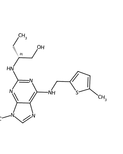 CC[C@H](CO)Nc1nc(NCc2ccc(C)s2)c2ncn(C)c2n1